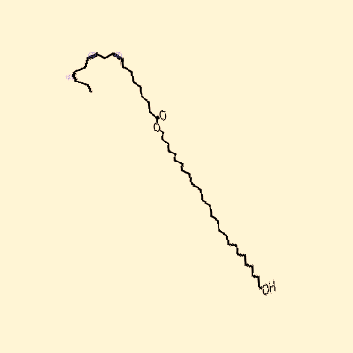 CC/C=C\C/C=C\C/C=C\CCCCCCCC(=O)OCCCCCCCCCCCCCCCCCCCCCCCCCCO